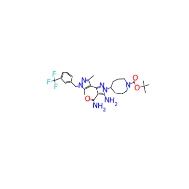 Cc1nn(Cc2cccc(C(F)(F)F)c2)c(C)c1-c1nn(C2CCCN(C(=O)OC(C)(C)C)CCC2)c(N)c1C(N)=O